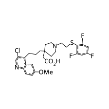 COc1ccc2ncc(Cl)c(CCCC3(CC(=O)O)CCN(CCSc4c(F)cc(F)cc4F)CC3)c2c1